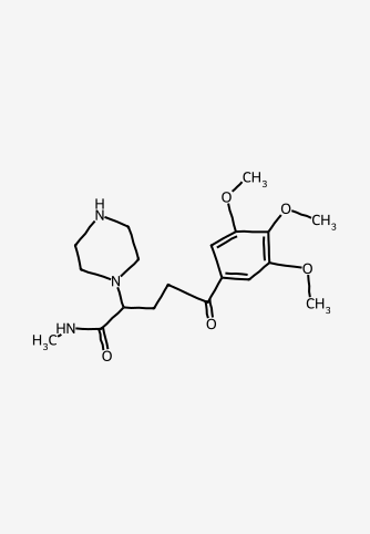 CNC(=O)C(CCC(=O)c1cc(OC)c(OC)c(OC)c1)N1CCNCC1